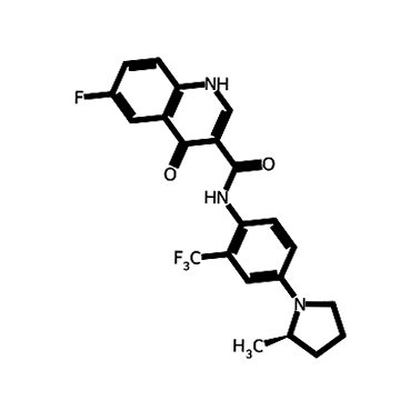 C[C@@H]1CCCN1c1ccc(NC(=O)c2c[nH]c3ccc(F)cc3c2=O)c(C(F)(F)F)c1